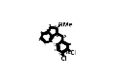 CN[C@H]1Cc2ccccc2C1Cc1ccc(Cl)c(Cl)c1